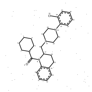 O=C(C1CCCCC1)N1c2ccccc2CCC1CN1CCN(c2ccccc2Cl)CC1